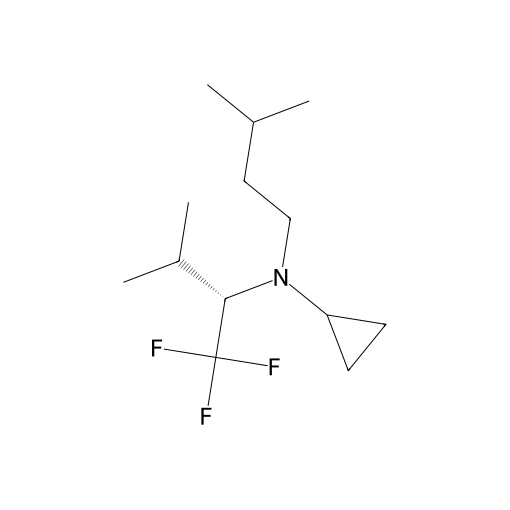 CC(C)CCN(C1CC1)[C@@H](C(C)C)C(F)(F)F